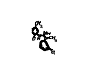 CCc1cccc(N(C)C(=N)Nc2cc(C)ccc2Cl)c1